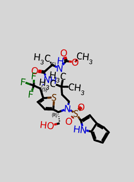 COC(=O)N[C@@H](C)C(=O)N[C@H](c1ccc([C@@H](CO)N(CCC(C)(C)C)S(=O)(=O)c2cc3ccccc3[nH]2)s1)C(F)(F)F